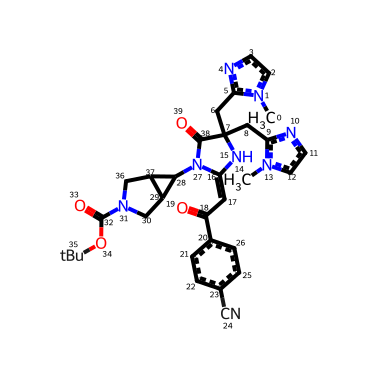 Cn1ccnc1CC1(Cc2nccn2C)NC(=CC(=O)c2ccc(C#N)cc2)N(C2C3CN(C(=O)OC(C)(C)C)CC32)C1=O